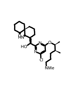 CNCCC[C@H](C)[C@H](C)Oc1cc(Cl)nc(/C(O)=C2\CCC[C@@]3(CCCCC3=O)C2=N)n1